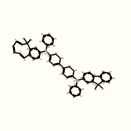 CC1(C)/C=C/C=C\C=C\c2ccc(N(C3=CC=C(C4=CC=C(N(c5ccccc5)c5ccc6c(c5)C(C)(C)c5ccccc5-6)CC4)CC3)c3ccccc3)cc21